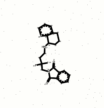 O=C1c2ccccc2C(=O)N1CC(F)(F)CCNC1CCCc2cccnc21